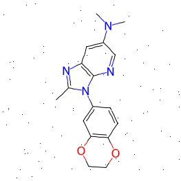 Cc1nc2cc(N(C)C)cnc2n1-c1ccc2c(c1)OCCO2